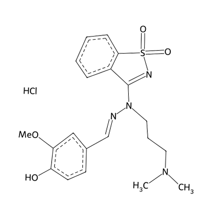 COc1cc(C=NN(CCCN(C)C)C2=NS(=O)(=O)c3ccccc32)ccc1O.Cl